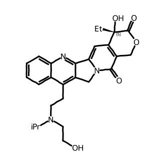 CC[C@@]1(O)C(=O)OCc2c1cc1n(c2=O)Cc2c-1nc1ccccc1c2CCN(CCO)C(C)C